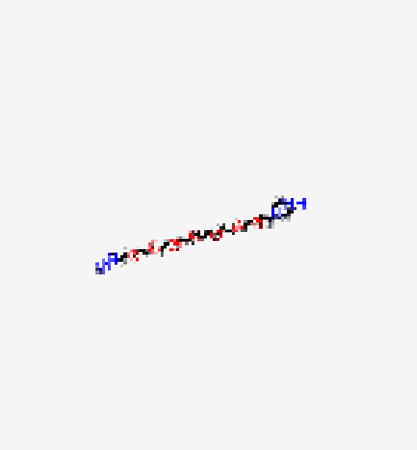 [N-]=[N+]=NCCOCCOCCOCCOCCOCCOCCOCCN1CCNCC1